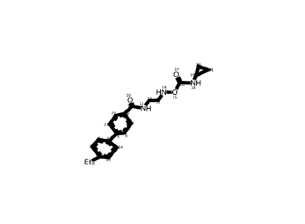 CCc1ccc(-c2ccc(C(=O)NCCNOC(=O)NC3CC3)cc2)cc1